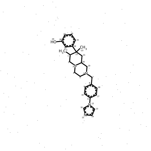 CC1CN2CCN(Cc3ccc(-n4ccnc4)cc3)CC2CC1(C)c1cccc(O)c1